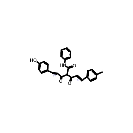 Cc1ccc(/C=C/C(=O)C(C(=O)/C=C/c2ccc(O)cc2)C(=O)Nc2ccccc2)cc1